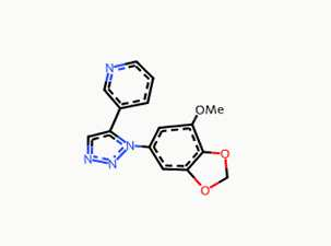 COc1cc(-n2nncc2-c2cccnc2)cc2c1OCO2